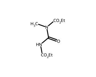 CCOC(=O)NC(=O)N(C)C(=O)OCC